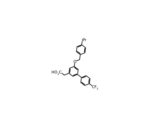 CC(C)c1ccc(COc2cc(CC(=O)O)cc(-c3ccc(C(F)(F)F)cc3)c2)cc1